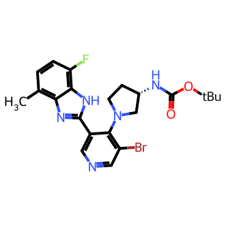 Cc1ccc(F)c2[nH]c(-c3cncc(Br)c3N3CC[C@H](NC(=O)OC(C)(C)C)C3)nc12